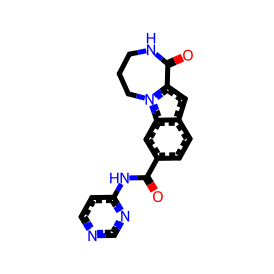 O=C(Nc1ccncn1)c1ccc2cc3n(c2c1)CCCNC3=O